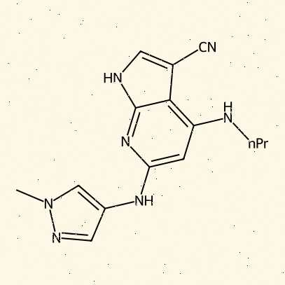 CCCNc1cc(Nc2cnn(C)c2)nc2[nH]cc(C#N)c12